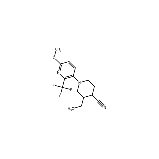 CCC1CN(c2ccc(OC)nc2C(F)(F)F)CCC1C#N